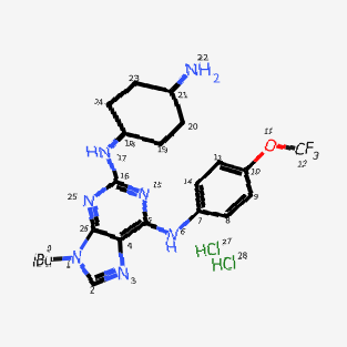 CCC(C)n1cnc2c(Nc3ccc(OC(F)(F)F)cc3)nc(NC3CCC(N)CC3)nc21.Cl.Cl